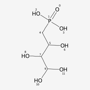 O=P(O)(O)CC(O)C(O)C(O)O